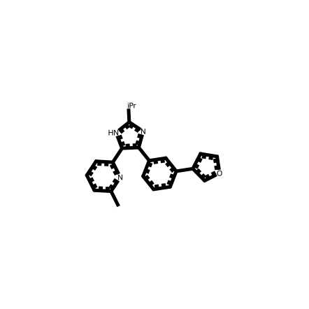 Cc1cccc(-c2[nH]c(C(C)C)nc2-c2cccc(-c3ccoc3)c2)n1